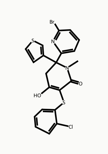 CN1C(=O)C(Sc2ccccc2Cl)=C(O)CC1(c1ccsc1)c1cccc(Br)n1